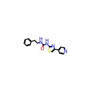 O=C(NCCc1ccccc1)Nc1nc(-c2ccncc2)cs1